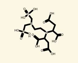 O=C(O)CC(C(=O)O)N(CCN(CP(=O)(O)O)CP(=O)(O)O)C(CC(=O)O)C(=O)O